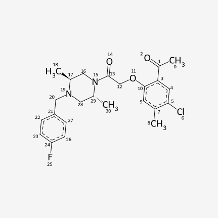 CC(=O)c1cc(Cl)c(C)cc1OCC(=O)N1C[C@H](C)N(Cc2ccc(F)cc2)C[C@H]1C